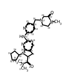 CN(C)C(=O)C1Cc2cnc(Nc3ccc(CN4CCN(C)C(=O)C4)cn3)nc2N1C1CCCC1